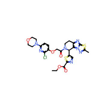 CCOC(=O)c1ncc(C2c3c(nc4sc(C)nn34)CCN2C(=O)COc2ccc(N3CCOCC3)nc2Cl)s1